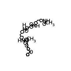 COCC(COc1ccc(C(=O)c2ccccc2)cc1)OC(=O)NC1CCC(CC2CCC(NC(=O)OCCOC(=O)NC3CCC(CC4CCC(NC(C)=O)CC4)CC3)CC2)CC1